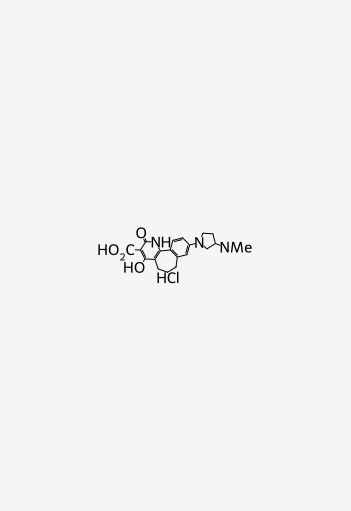 CNC1CCN(c2ccc3c(c2)CCCc2c-3[nH]c(=O)c(C(=O)O)c2O)C1.Cl